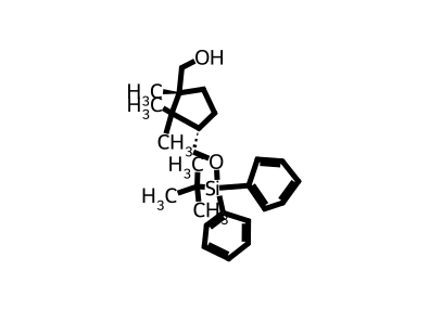 CC1(C)[C@@H](CO[Si](c2ccccc2)(c2ccccc2)C(C)(C)C)CC[C@@]1(C)CO